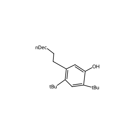 CCCCCCCCCCCCc1cc(O)c(C(C)(C)C)cc1C(C)(C)C